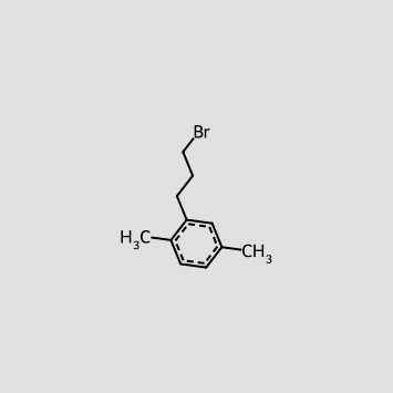 Cc1ccc(C)c(CCCBr)c1